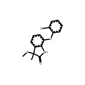 CSC1(C)C(=O)Nc2c(Oc3ccccc3Cl)cccc21